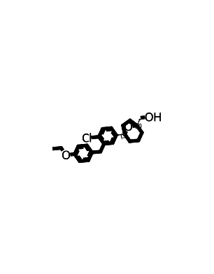 CCOc1ccc(Cc2cc([C@]34CCC[C@](CO)(CC3)O4)ccc2Cl)cc1